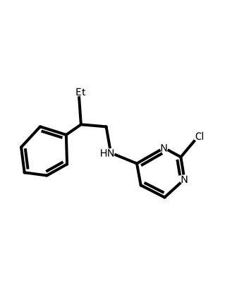 CCC(CNc1ccnc(Cl)n1)c1ccccc1